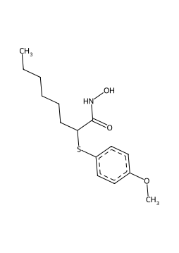 CCCCCCC(Sc1ccc(OC)cc1)C(=O)NO